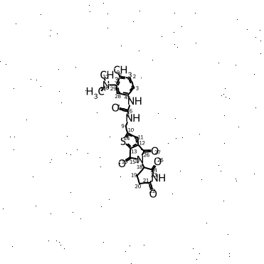 Cc1ccc(NC(=O)NCc2cc3c(s2)C(=O)N(C2CCC(=O)NC2=O)C3=O)cc1N(C)C